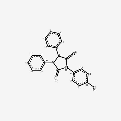 O=C1C(c2ccccc2)C(c2ccccc2)C(=O)N1c1ccc(Cl)cc1